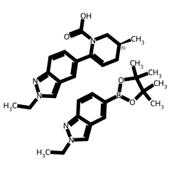 CCn1cc2cc(B3OC(C)(C)C(C)(C)O3)ccc2n1.CCn1cc2cc(C3=CC[C@H](C)CN3C(=O)O)ccc2n1